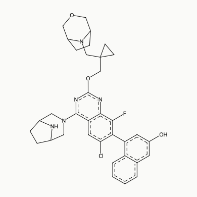 Oc1cc(-c2c(Cl)cc3c(N4CC5CCC(C4)N5)nc(OCC4(CN5C6CCC5COC6)CC4)nc3c2F)c2ccccc2c1